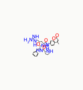 Cc1cc(=O)oc2cc(NC(=O)[C@H](CCCNC(=N)N)NC(=O)[C@H](Cc3ccccc3)NC(=O)[C@@H]3CCCN3)ccc12